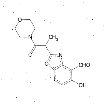 CC(C(=O)N1CCOCC1)c1nc2c(C=O)c(O)ccc2o1